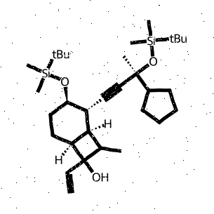 C=CC1(O)C(C)[C@@H]2[C@@H](C#C[C@@](C)(O[Si](C)(C)C(C)(C)C)C3CCCC3)[C@H](O[Si](C)(C)C(C)(C)C)CC[C@@H]21